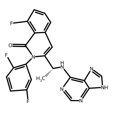 C[C@@H](Nc1ncnc2[nH]cnc12)c1cc2cccc(F)c2c(=O)n1-c1cc(F)ccc1F